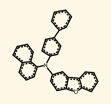 c1ccc(-c2ccc(N(c3ccc4oc5ccccc5c4c3)c3cccc4ccccc34)cc2)cc1